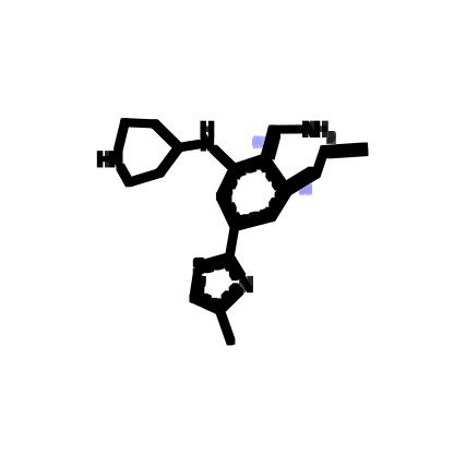 C=C/C=c1/cc(-c2nc(C)cs2)cc(NC2CCNCC2)/c1=C/N